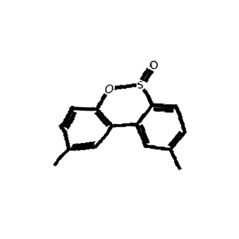 Cc1ccc2c(c1)-c1cc(C)ccc1S(=O)O2